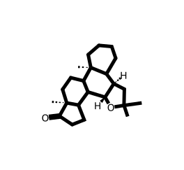 CC1(C)C[C@@H]2C3CCCC[C@]3(C)C3CC[C@]4(C)C(=O)CCC4C3[C@H]2O1